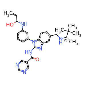 C=CC(O)Nc1cccc(-n2c(NC(=O)c3cncnc3)nc3cc(CN[C@@H](C)C(C)(C)C)ccc32)c1